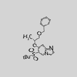 CC(COCc1ccccc1)Oc1cc2nccn2cc1S(=O)(=O)C(C)(C)C